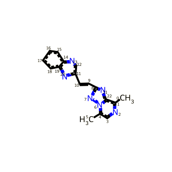 Cc1ncc(C)n2nc(/C=C/c3cnc4ccccc4n3)nc12